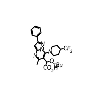 Cc1nc2cc(-c3ccccc3)nn2c(N2CCC(C(F)(F)F)CC2)c1C(OC(C)(C)C)C(=O)O